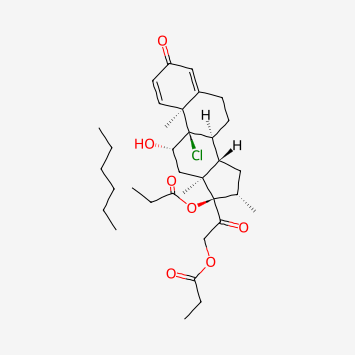 CCC(=O)OCC(=O)[C@@]1(OC(=O)CC)[C@@H](C)C[C@H]2[C@@H]3CCC4=CC(=O)C=C[C@]4(C)[C@@]3(Cl)[C@@H](O)C[C@@]21C.CCCCCC